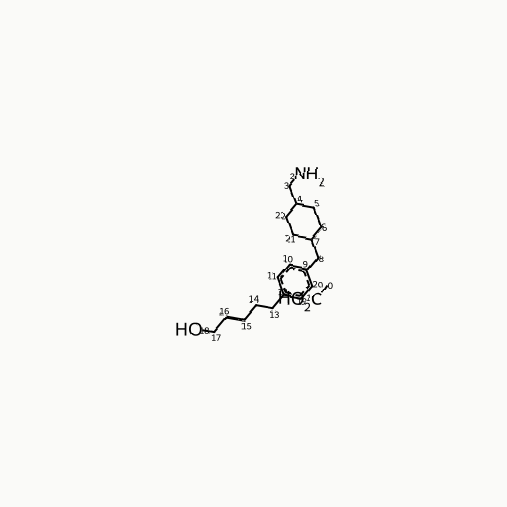 CC(=O)O.NCC1CCC(Cc2ccc(CCCCCO)cc2)CC1